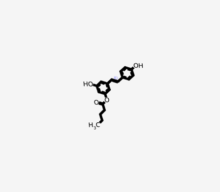 CCCCC(=O)Oc1cc(O)cc(/C=C/c2ccc(O)cc2)c1